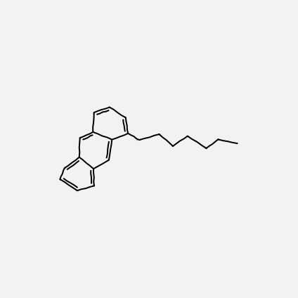 CCCCCC[CH]c1cccc2cc3ccccc3cc12